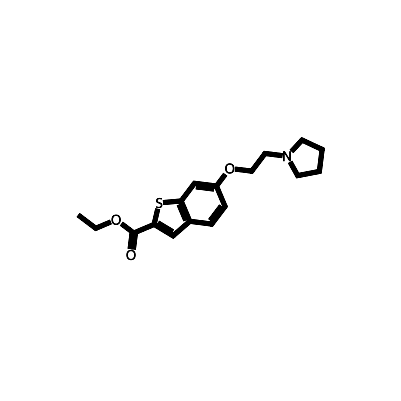 CCOC(=O)c1cc2ccc(OCCN3CCCC3)cc2s1